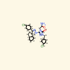 NC(=O)Cn1c(N2C[C@@]3(CCc4ccccc43)C(c3ccc(Cl)cc3)=N2)nn(Cc2ccc(Cl)cc2)c1=O